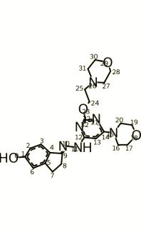 Oc1ccc2c(c1)CC/C2=N\Nc1cc(N2CCOCC2)nc(OCCN2CCOCC2)n1